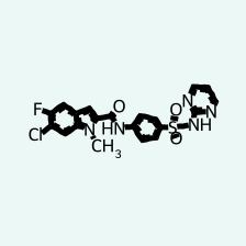 Cn1c(C(=O)Nc2ccc(S(=O)(=O)Nc3ncccn3)cc2)cc2cc(F)c(Cl)cc21